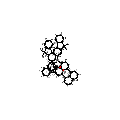 CC1(C)c2ccccc2-c2ccc(-n3c4ccccc4c4cc(-c5cccc6cccc(-c7ccc8c(c7)c7ccccc7n8-c7ccc8c(c7)C(C)(C)c7ccccc7-8)c56)ccc43)cc21